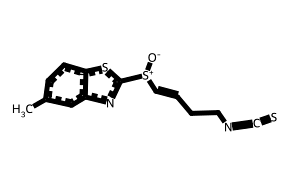 Cc1ccc2sc([S+]([O-])/C=C/CCN=C=S)nc2c1